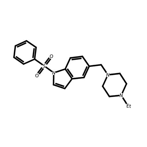 CCN1CCN(Cc2ccc3c(ccn3S(=O)(=O)c3ccccc3)c2)CC1